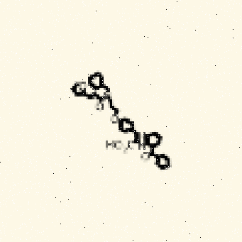 O=C(c1ccccc1)c1ccccc1N[C@@H](Cc1ccc(OCCCN(Cc2ccccc2)C(=O)C=Cc2ccco2)cc1)C(=O)O